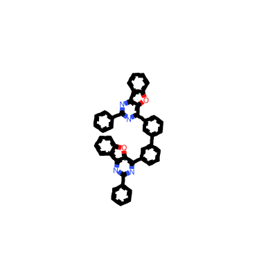 c1ccc(-c2nc(-c3cccc(-c4cccc(-c5nc(-c6ccccc6)nc6c5oc5ccccc56)c4)c3)c3oc4ccccc4c3n2)cc1